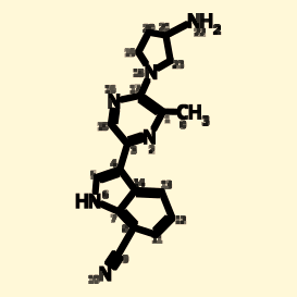 Cc1nc(-c2c[nH]c3c(C#N)cccc23)cnc1N1CCC(N)C1